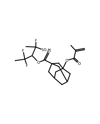 C=C(C)C(=O)OC12CC3CC(C1)CC(C(=O)OC(C(C)(F)F)C(C)(F)S(=O)(=O)O)(C3)C2